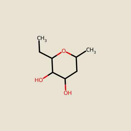 CCC1OC(C)CC(O)C1O